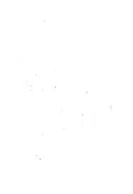 CC#Cc1cn([C@@H]2O[C@H](CO)[C@@H](O)[C@H]2OCCON(C)C)c(=O)[nH]c1=O